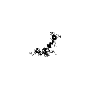 CC1O[C@H]2[C@@H](O)[C@H](n3cnc4c(N)ncnc43)O[C@@H]2CN1C1CC(CCc2nc3cc(C(C)(C)C)c(O)cc3[nH]2)C1